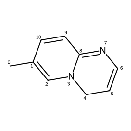 CC1=CN2CC=CN=C2C=C1